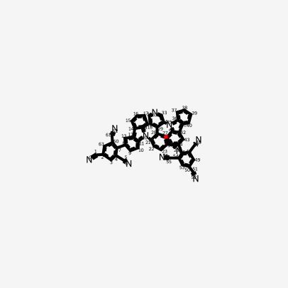 N#Cc1cc(C#N)c(-c2ccc3c(c2)c2ccccc2n3-c2ccc(C#N)cc2-c2ccncc2-n2c3ccccc3c3cc(-c4c(C#N)cc(C#N)cc4C#N)ccc32)c(C#N)c1